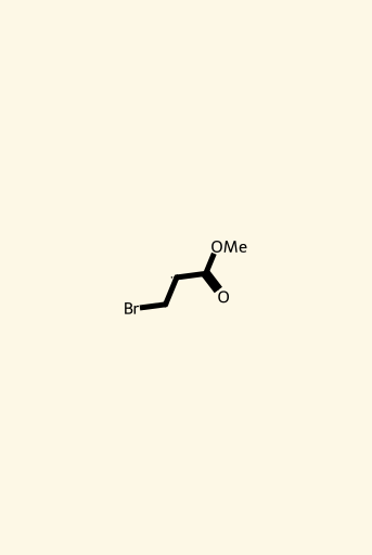 COC(=O)[CH]CBr